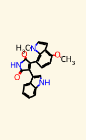 COc1ccc(C2=C(c3c[nH]c4ccccc34)C(=O)NC2=O)c2c1ccn2C